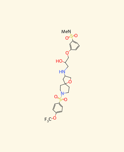 CNS(=O)(=O)c1cccc(OCC(O)CNC2COC3(CCN(S(=O)(=O)c4ccc(OC(F)(F)F)cc4)CC3)C2)c1